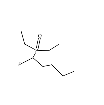 CCCCC(F)P(=O)(CC)CC